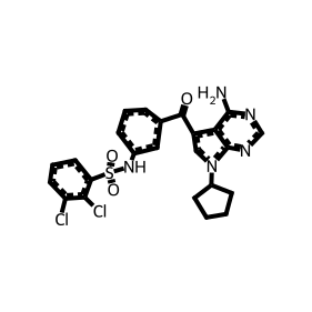 Nc1ncnc2c1c(C(=O)c1cccc(NS(=O)(=O)c3cccc(Cl)c3Cl)c1)cn2C1CCCC1